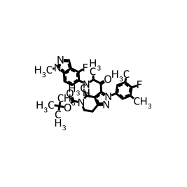 Cc1cc(-n2nc3c(c2C(=O)C(C)Nc2ccc4c(cnn4C)c2F)[C@H](C)N(C(=O)OC(C)(C)C)CC3)cc(C)c1F